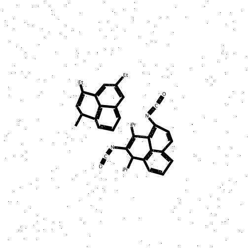 CC(C)C1=C(N=C=O)C(C(C)C)c2cccc3ccc(N=C=O)c1c23.CCC1=CC(C)c2cccc3cc(CC)cc1c23